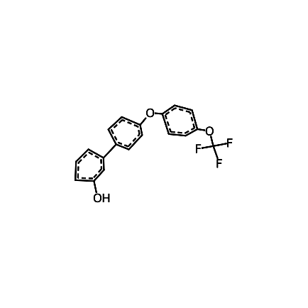 Oc1cccc(-c2ccc(Oc3ccc(OC(F)(F)F)cc3)cc2)c1